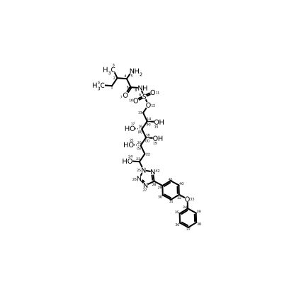 CCC(C)C(N)C(=O)NS(=O)(=O)OC[C@@H](O)[C@@H](O)[C@@H](O)[C@@H](O)CC(O)n1nnc(-c2ccc(Oc3ccccc3)cc2)n1